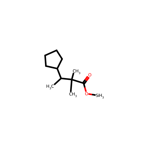 CC(C1CCCC1)C(C)(C)C(=O)O[SiH3]